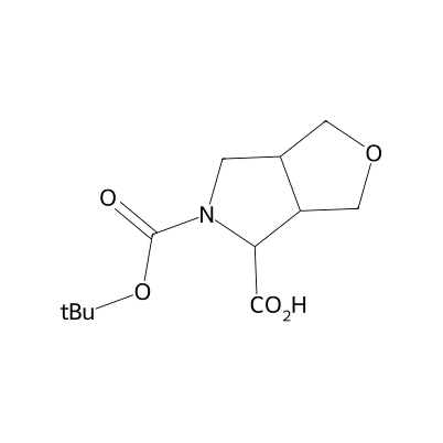 CC(C)(C)OC(=O)N1CC2COCC2C1C(=O)O